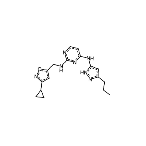 CCCc1cc(Nc2ccnc(NCc3cc(C4CC4)no3)n2)[nH]n1